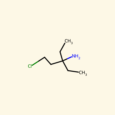 CCC(N)(CC)CCCl